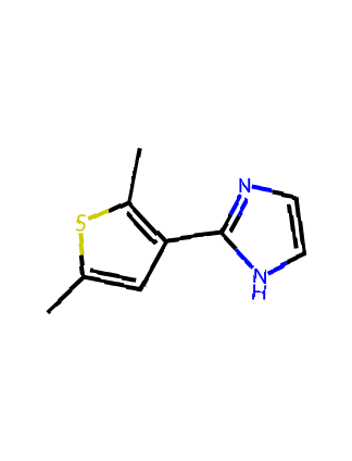 Cc1cc(-c2ncc[nH]2)c(C)s1